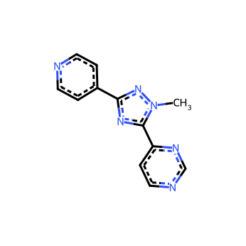 Cn1nc(-c2ccncc2)nc1-c1ccncn1